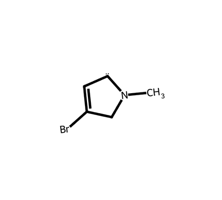 CN1[C]C=C(Br)C1